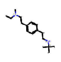 CCN(C)CCc1ccc(CCNC(C)(C)C)cc1